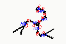 CCCCCCCCC(CCCCCC)C(=O)NC(C)(C)CCOC(C)(C)CCNC(=O)c1cc(OCCNC(=O)CC(C)(C)COCC(C)(C)CNC(=O)CCN2C(=O)C=CC2=O)cc(C(=O)NCCC(C)(C)OCCC(C)(C)NC(=O)C(CCCCCC)CCCCCCCC)c1